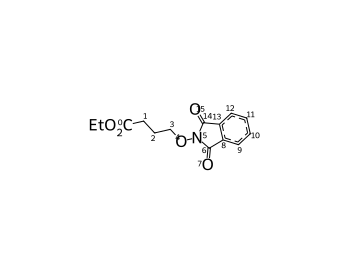 CCOC(=O)CCCON1C(=O)c2ccccc2C1=O